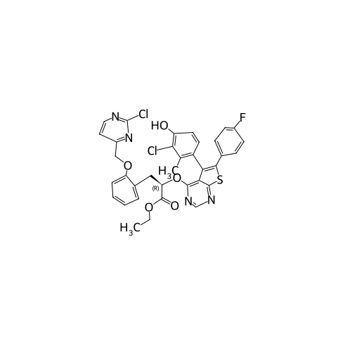 CCOC(=O)[C@@H](Cc1ccccc1OCc1ccnc(Cl)n1)Oc1ncnc2sc(-c3ccc(F)cc3)c(-c3ccc(O)c(Cl)c3C)c12